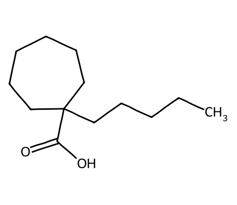 CCCCCC1(C(=O)O)CCCCCC1